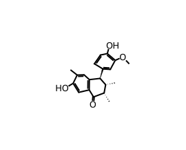 COc1cc([C@@H]2c3cc(C)c(O)cc3C(=O)[C@@H](C)[C@H]2C)ccc1O